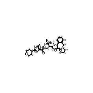 Cc1nc(C2CCOCC2)sc1C(=O)NC[C@H](C(=O)N[C@@H]1C(=O)N2CCCN2Cc2ccccc21)C(F)(F)F